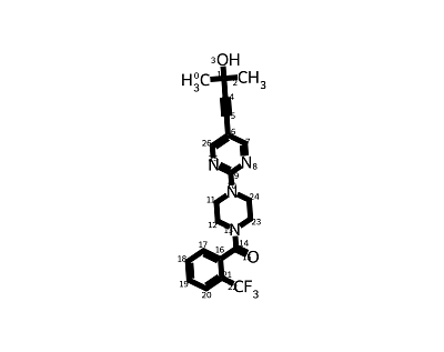 CC(C)(O)C#Cc1cnc(N2CCN(C(=O)c3ccccc3C(F)(F)F)CC2)nc1